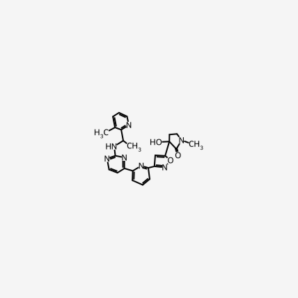 Cc1cccnc1C(C)Nc1nccc(-c2cccc(-c3cc(C4(O)CCN(C)C4=O)on3)n2)n1